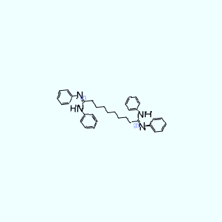 c1ccc(/N=C(/CCCCCCCC/C(=N/c2ccccc2)Nc2ccccc2)Nc2ccccc2)cc1